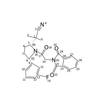 CC(C)(C#N)[C@H]1CC[C@@H](c2cccc(F)c2)N1C(=O)CN1C(=O)c2ccccc2C1=O